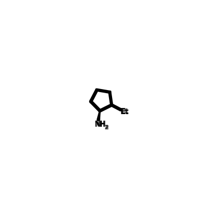 CCC1CCC[C@@H]1N